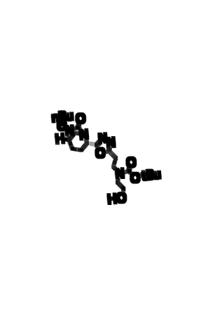 CCCCON1C(=O)N2C[C@@H]1CC[C@H]2c1nnc(CCN(CCO)C(=O)OC(C)(C)C)o1